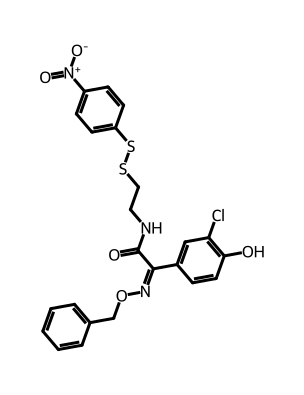 O=C(NCCSSc1ccc([N+](=O)[O-])cc1)/C(=N\OCc1ccccc1)c1ccc(O)c(Cl)c1